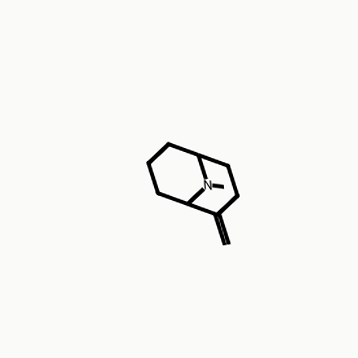 C=C1CCC2CCCC1N2C